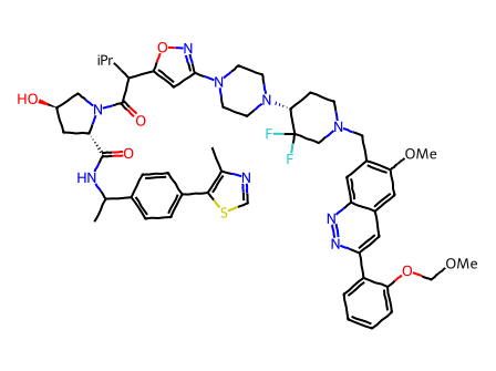 COCOc1ccccc1-c1cc2cc(OC)c(CN3CC[C@@H](N4CCN(c5cc(C(C(=O)N6C[C@H](O)C[C@H]6C(=O)NC(C)c6ccc(-c7scnc7C)cc6)C(C)C)on5)CC4)C(F)(F)C3)cc2nn1